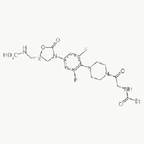 CCC(=O)NCC(=O)N1CCN(c2c(F)cc(N3C[C@H](CNC(=O)O)OC3=O)cc2F)CC1